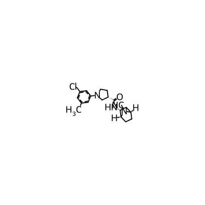 Cc1cc(Cl)cc(N2CC[C@H](C(=O)N[C@@H]3C[C@@H]4CC[C@H]3N4C#N)C2)c1